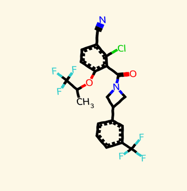 CC(Oc1ccc(C#N)c(Cl)c1C(=O)N1CC(c2cccc(C(F)(F)F)c2)C1)C(F)(F)F